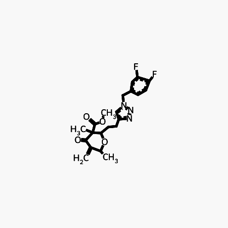 C=C1C(=O)C(C)(C(=O)OC)C(CCc2cn(Cc3ccc(F)c(F)c3)nn2)OC1C